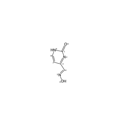 O=c1nc(C=NO)cc[nH]1